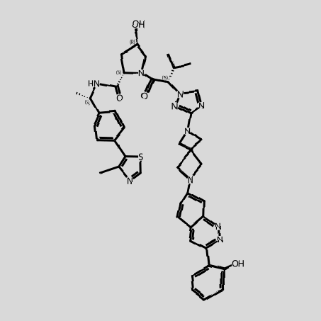 Cc1ncsc1-c1ccc([C@H](C)NC(=O)[C@@H]2C[C@@H](O)CN2C(=O)[C@H](C(C)C)n2cnc(N3CC4(CN(c5ccc6cc(-c7ccccc7O)nnc6c5)C4)C3)n2)cc1